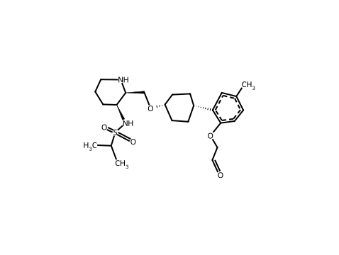 Cc1ccc(OCC=O)c([C@H]2CC[C@@H](OC[C@@H]3NCCC[C@@H]3NS(=O)(=O)C(C)C)CC2)c1